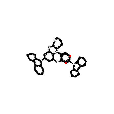 c1ccc2c(c1)Oc1cc(-n3c4ccccc4c4ccccc43)cc3c1[Si]2(c1ccc(-n2c4ccccc4c4ccccc42)cc1)c1ccccc1O3